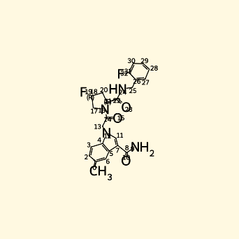 Cc1ccc2c(c1)c(C(N)=O)cn2CC(=O)N1C[C@H](F)C[C@H]1C(=O)NCc1ccccc1F